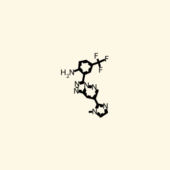 Cn1ccnc1-c1cnn2c(-c3cc(C(F)(F)F)ccc3N)nnc2c1